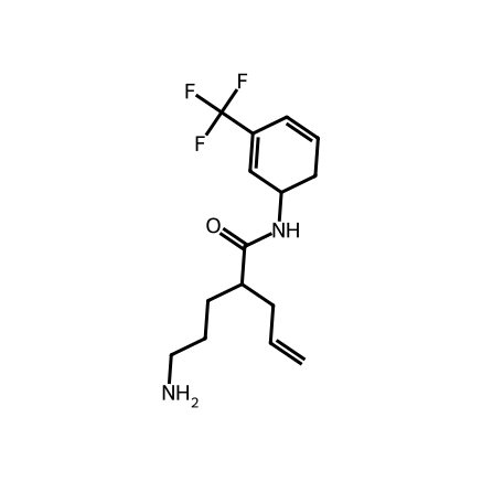 C=CCC(CCCN)C(=O)NC1C=C(C(F)(F)F)C=CC1